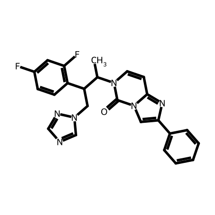 CC(C(Cn1cncn1)c1ccc(F)cc1F)n1ccc2nc(-c3ccccc3)cn2c1=O